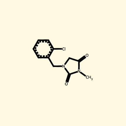 CN1C(=O)CN(Cc2ccccc2Cl)C1=O